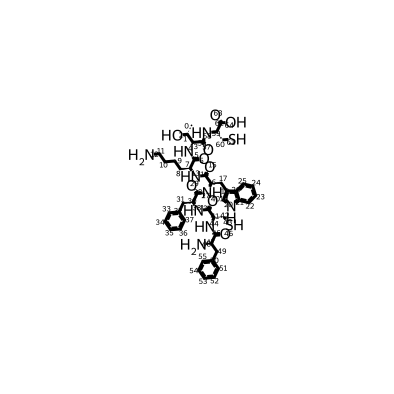 C[C@@H](O)[C@H](NC(=O)[C@H](CCCCN)NC(=O)[C@@H](Cc1c[nH]c2ccccc12)NC(=O)[C@H](Cc1ccccc1)NC(=O)[C@H](CS)NC(=O)[C@H](N)Cc1ccccc1)C(=O)N[C@@H](CS)C(=O)O